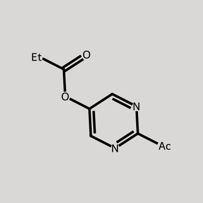 CCC(=O)Oc1cnc(C(C)=O)nc1